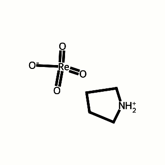 C1CC[NH2+]C1.[O]=[Re](=[O])(=[O])[O-]